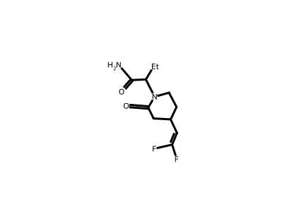 CCC(C(N)=O)N1CCC(C=C(F)F)CC1=O